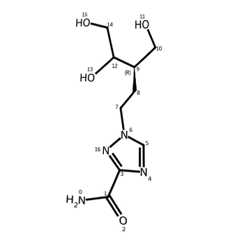 NC(=O)c1ncn(CC[C@H](CO)C(O)CO)n1